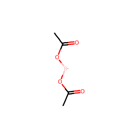 CC(=O)O[B]OC(C)=O